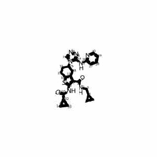 O=C(NCC1CC1)c1c(NC(=O)C2CC2)sc2c1CC(n1cnnc1Nc1ccccn1)CC2